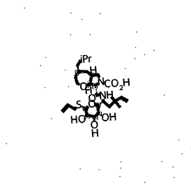 C=CCS[C@H]1O[C@H](C(CC(C)(C)C=C)NC(=O)[C@@H]2[C@@H]3OCC[C@@H](CC(C)C)C[C@H]3CN2C(=O)O)[C@H](O)[C@H](O)[C@H]1O